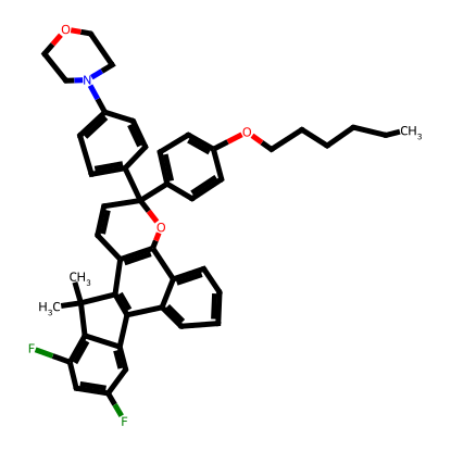 CCCCCCOc1ccc(C2(c3ccc(N4CCOCC4)cc3)C=Cc3c4c(c5ccccc5c3O2)-c2cc(F)cc(F)c2C4(C)C)cc1